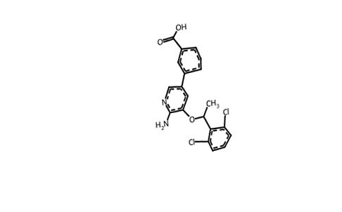 CC(Oc1cc(-c2cccc(C(=O)O)c2)cnc1N)c1c(Cl)cccc1Cl